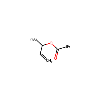 C=CC(CCCC)OC(=O)C(C)C